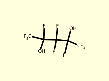 OC(F)(C(F)(F)F)C(F)(F)C(O)(F)C(F)(F)F